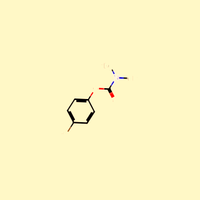 CCCN(C(=O)Oc1ccc(Br)cc1)C(C)(C)C